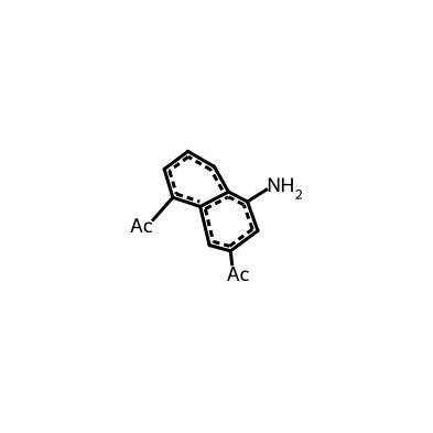 CC(=O)c1cc(N)c2cccc(C(C)=O)c2c1